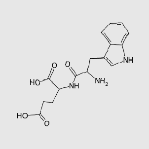 NC(Cc1c[nH]c2ccccc12)C(=O)NC(CCC(=O)O)C(=O)O